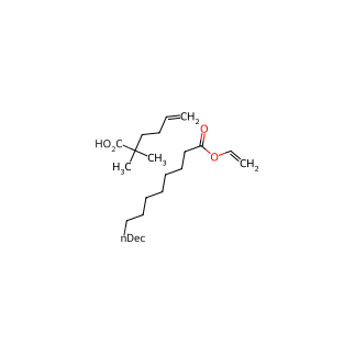 C=CCCC(C)(C)C(=O)O.C=COC(=O)CCCCCCCCCCCCCCCCC